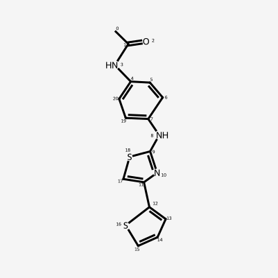 CC(=O)Nc1ccc(Nc2nc(-c3cccs3)cs2)cc1